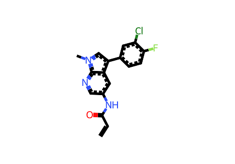 C=CC(=O)Nc1cnc2c(c1)c(-c1ccc(F)c(Cl)c1)cn2C